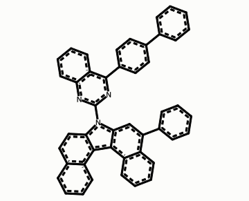 c1ccc(-c2ccc(-c3nc(-n4c5ccc6ccccc6c5c5c6ccccc6c(-c6ccccc6)cc54)nc4ccccc34)cc2)cc1